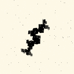 CC(C)Nc1cncc(-c2ccc3[nH]nc(-c4cc5c(-c6cc(F)cc(OCCN(C)C)c6)cncc5[nH]4)c3c2)c1